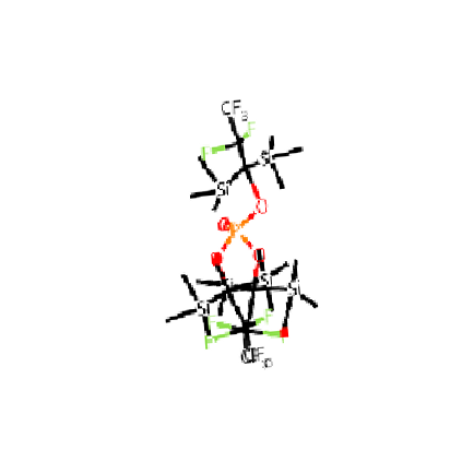 C[Si](C)(C)C(OP(=O)(OC(C(F)(F)C(F)(F)F)([Si](C)(C)C)[Si](C)(C)C)OC(C(F)(F)C(F)(F)F)([Si](C)(C)C)[Si](C)(C)C)(C(F)(F)C(F)(F)F)[Si](C)(C)C